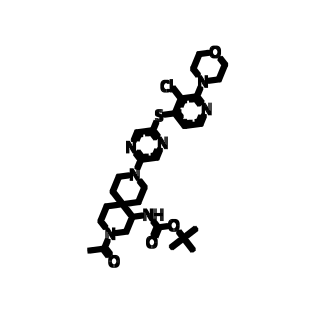 CC(=O)N1CCC2(CCN(c3cnc(Sc4ccnc(N5CCOCC5)c4Cl)cn3)CC2)C(NC(=O)OC(C)(C)C)C1